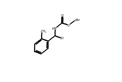 CCC(NC(=O)OC(C)(C)C)c1ccccc1C